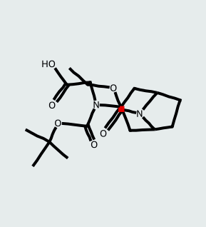 CCOC(=O)N1C2CCC1CC(N(CC(=O)O)C(=O)OC(C)(C)C)C2